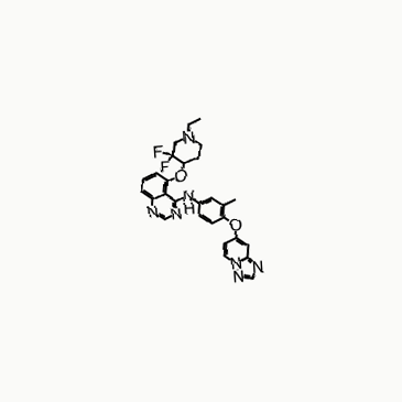 CCN1CCC(Oc2cccc3ncnc(Nc4ccc(Oc5ccn6ncnc6c5)c(C)c4)c23)C(F)(F)C1